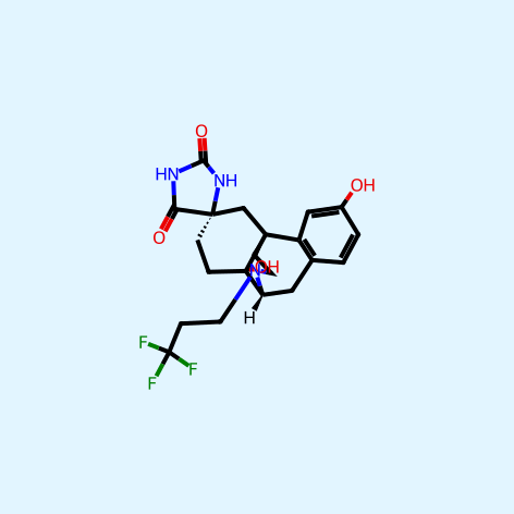 O=C1NC(=O)[C@@]2(CC[C@@]3(O)[C@H]4Cc5ccc(O)cc5[C@@]3(CCN4CCC(F)(F)F)C2)N1